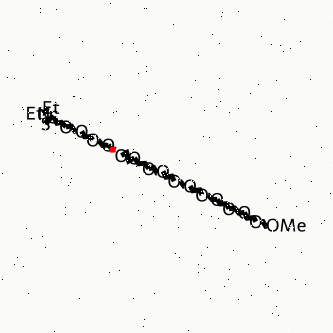 CCN(CC)C(=S)SCCOCCOCCOCCOCCOCCOCCOCCOCCOCCOCCOCCOCCOCCOCCOCCOC